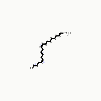 CC/C=C/C/C=C\C/C=C/C/C=C\CCCCCCC=CC(=O)O